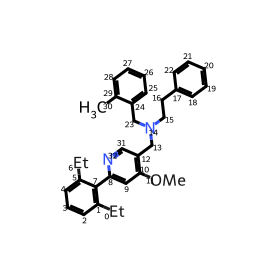 CCc1cccc(CC)c1-c1cc(OC)c(CN(CCc2ccccc2)Cc2ccccc2C)cn1